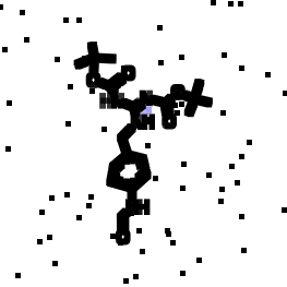 CC(C)(C)OC(=O)/N=C(\NCc1ccc(NC=O)cc1)NC(=O)OC(C)(C)C